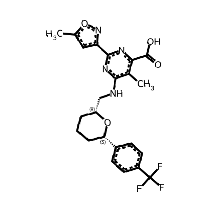 Cc1cc(-c2nc(NC[C@H]3CCC[C@@H](c4ccc(C(F)(F)F)cc4)O3)c(C)c(C(=O)O)n2)no1